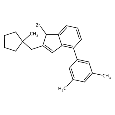 Cc1cc(C)cc(-c2cccc3c2C=C(CC2(C)CCCC2)[CH]3[Zr])c1